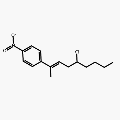 CCCCC(Cl)CC=C(C)c1ccc([N+](=O)[O-])cc1